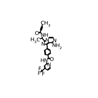 CC#CC(=O)NC(C)c1nc(-c2ccc(C(=O)Nc3cc(C(F)(F)F)ccn3)cc2)c2c(N)nccn12